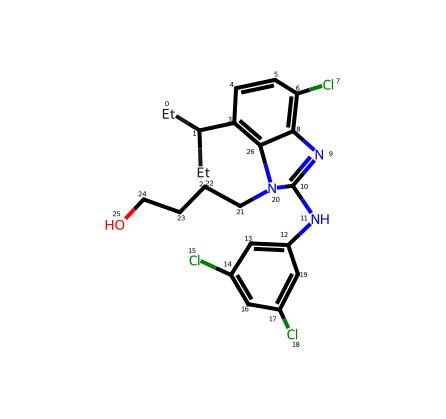 CCC(CC)c1ccc(Cl)c2nc(Nc3cc(Cl)cc(Cl)c3)n(CCCCO)c12